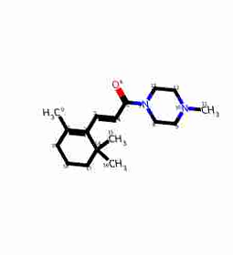 CC1=C(C=CC(=O)N2CCN(C)CC2)C(C)(C)CCC1